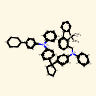 C[Si]1(C)c2ccccc2-c2cccc(CN(c3ccccc3)c3ccc(C4(c5ccc(N(c6ccccc6)c6ccc(C7CCCCC7)cc6)cc5)CCCC4)cc3)c21